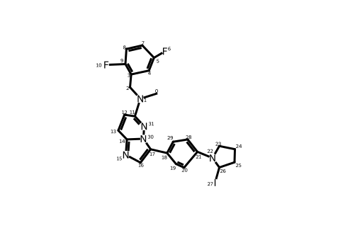 CN(Cc1cc(F)ccc1F)c1ccc2ncc(-c3ccc(N4CCCC4I)cc3)n2n1